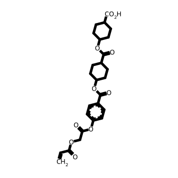 C=CC(=O)OCC(=O)Oc1ccc(C(=O)OC2CCC(C(=O)OC3CCC(C(=O)O)CC3)CC2)cc1